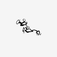 Fc1c(Nc2ncnc3ccc(CC4CCNC4)nc23)ccc(Cl)c1Cl